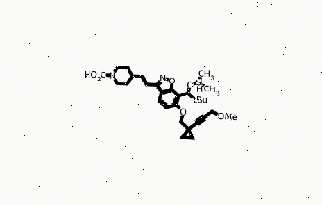 COCC#CC1(COc2ccc3c(CCC4CCN(C(=O)O)CC4)noc3c2C(O[SiH](C)C)C(C)(C)C)CC1